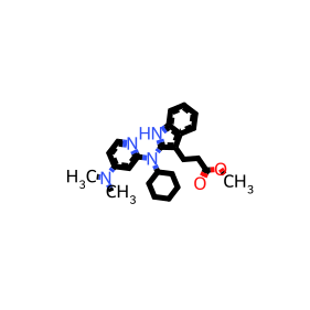 COC(=O)CCc1c(N(c2cc(N(C)C)ccn2)C2CCCCC2)[nH]c2ccccc12